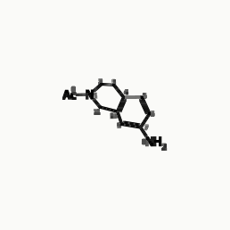 CC(=O)N1CCc2ccc(N)cc2C1